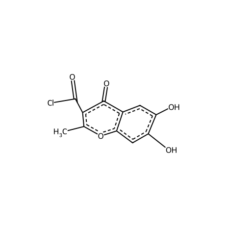 Cc1oc2cc(O)c(O)cc2c(=O)c1C(=O)Cl